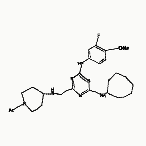 COc1ccc(Nc2nc(CNC3CCN(C(C)=O)CC3)nc(NC3CCCCCC3)n2)cc1F